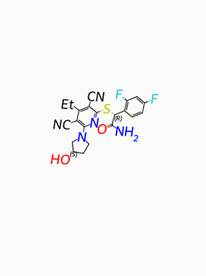 CCc1c(C#N)c(S[C@@H](C(N)=O)c2ccc(F)cc2F)nc(N2CC[C@H](O)C2)c1C#N